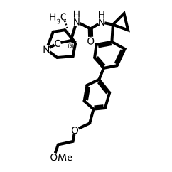 COCCOCc1ccc(-c2ccc(C3(NC(=O)N[C@]4(C)CN5CCC4CC5)CC3)cc2)cc1